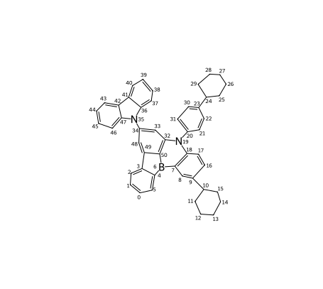 c1ccc2c(c1)B1c3cc(C4CCCCC4)ccc3N(c3ccc(C4CCCCC4)cc3)c3cc(-n4c5ccccc5c5ccccc54)cc-2c31